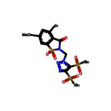 COc1cc(C(C)C)c2c(c1)S(=O)(=O)N(Cn1nnc(S(=O)(=O)C(C)(C)C)c1S(=O)(=O)C(C)(C)C)C2=O